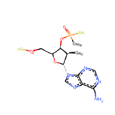 COP(=O)(S)O[C@@H]1C(COS)O[C@@H](n2cnc3c(N)ncnc32)[C@@H]1OC(C)=O